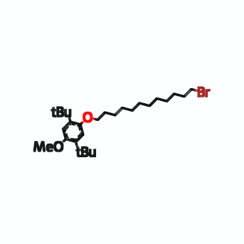 COc1cc(C(C)(C)C)c(OCCCCCCCCCCCCBr)cc1C(C)(C)C